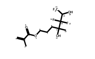 C=C(C)C(=O)OCCCC(C)(O)C(F)(F)C(O)C(F)(F)F